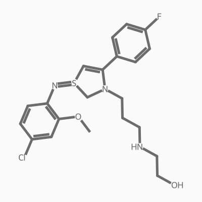 COc1cc(Cl)ccc1N=S1C=C(c2ccc(F)cc2)N(CCCNCCO)C1